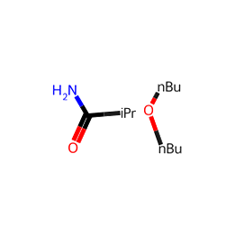 CC(C)C(N)=O.CCCCOCCCC